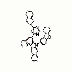 c1ccc2cc(-c3nc(-c4ccc5ccccc5c4)nc(-c4cccc5oc6ccc(-n7c8ccccc8c8cc9ccccc9cc87)cc6c45)n3)ccc2c1